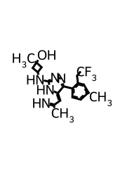 CC(=N)/C=C1\NC(NC2CC(C)(O)C2)=NN=C1c1ccc(C)cc1CC(F)(F)F